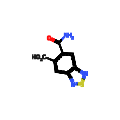 NC(=O)c1cc2nsnc2cc1C(=O)O